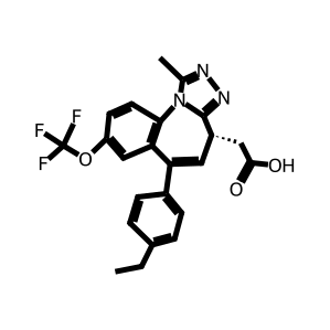 CCc1ccc(C2=C[C@@H](CC(=O)O)c3nnc(C)n3-c3ccc(OC(F)(F)F)cc32)cc1